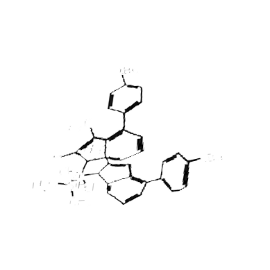 CC1=Cc2c(-c3ccc(C(C)(C)C)cc3)cccc2[CH]1[Zr]([Cl])([Cl])([CH]1C(C(C)C)=C(C)c2c(-c3ccc(C(C)(C)C)cc3)cccc21)[SiH](C)C